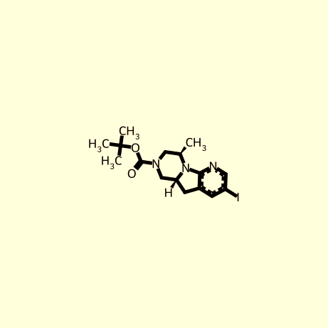 C[C@@H]1CN(C(=O)OC(C)(C)C)C[C@H]2Cc3cc(I)cnc3N21